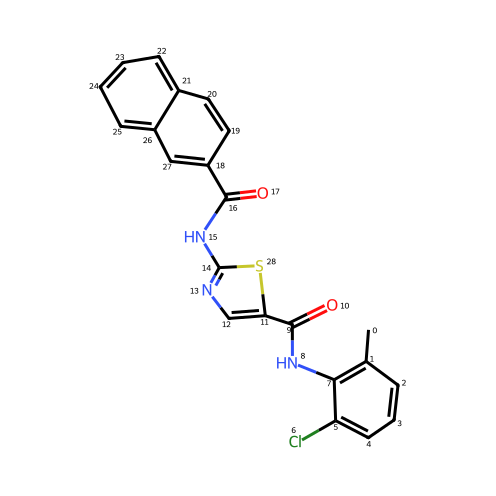 Cc1cccc(Cl)c1NC(=O)c1cnc(NC(=O)c2ccc3ccccc3c2)s1